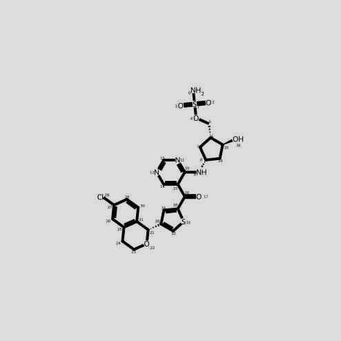 NS(=O)(=O)OC[C@H]1C[C@@H](Nc2ncncc2C(=O)c2cc([C@@H]3OCCc4cc(Cl)ccc43)cs2)C[C@@H]1O